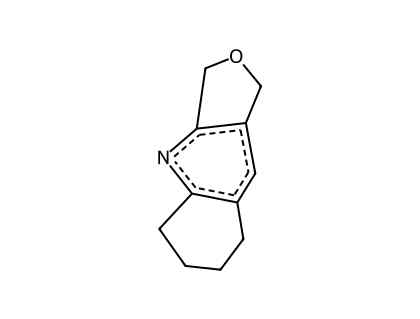 c1c2c(nc3c1COC3)CCCC2